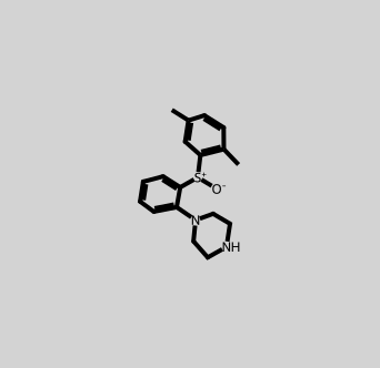 Cc1ccc(C)c([S+]([O-])c2ccccc2N2CCNCC2)c1